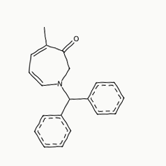 CC1=CC=CN(C(c2ccccc2)c2ccccc2)CC1=O